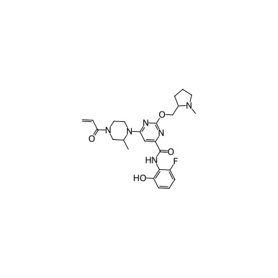 C=CC(=O)N1CCN(c2cc(C(=O)Nc3c(O)cccc3F)nc(OCC3CCCN3C)n2)C(C)C1